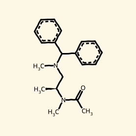 CC(=O)N(C)[C@@H](C)CN(C)C(c1ccccc1)c1ccccc1